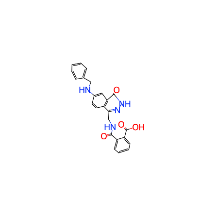 O=C(O)c1ccccc1C(=O)NCc1n[nH]c(=O)c2cc(NCc3ccccc3)ccc12